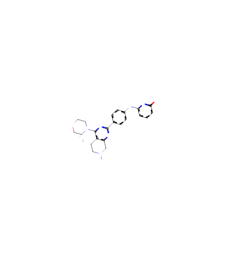 C[C@H]1COCCN1c1nc(-c2ccc(Nc3cccc(=O)[nH]3)cc2)nc2c1CCN(C=O)C2